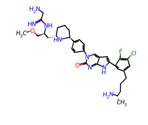 COC[C@H](C[C@@H]1CCC[C@@H](c2ccc(-n3cc4cc(-c5cc(CCC[C@H](C)N)cc(Cl)c5F)[nH]c4nc3=O)cc2)N1)NC(=N)CN